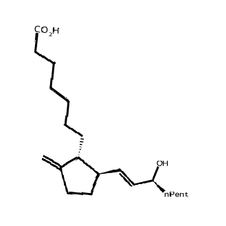 C=C1CC[C@H](C=C[C@@H](O)CCCCC)[C@H]1CCCCCCC(=O)O